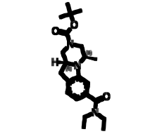 CCN(CC)C(=O)c1ccc2c(c1)N1[C@H](C2)CN(C(=O)OC(C)(C)C)C[C@H]1C